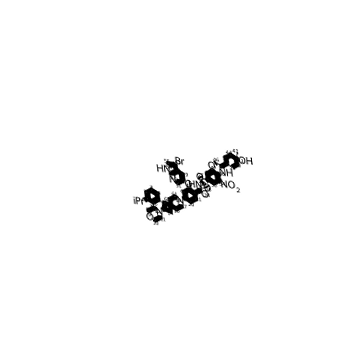 CC(C)c1ccccc1[C@H]1COCCN1C1CC2(CCN(c3ccc(C(=O)NS(=O)(=O)c4cc5c(c([N+](=O)[O-])c4)N[C@@H]([C@H]4CC[C@](C)(O)CC4)CO5)c(Oc4cnc5[nH]cc(Br)c5c4)c3)CC2)C1